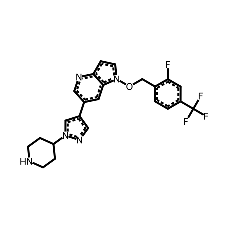 Fc1cc(C(F)(F)F)ccc1COn1ccc2ncc(-c3cnn(C4CCNCC4)c3)cc21